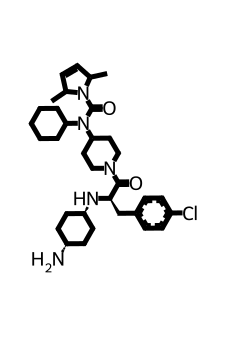 CC1C=CC(C)N1C(=O)N(C1CCCCC1)C1CCN(C(=O)[C@@H](Cc2ccc(Cl)cc2)N[C@H]2CC[C@@H](N)CC2)CC1